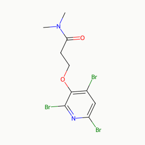 CN(C)C(=O)CCOc1c(Br)cc(Br)nc1Br